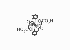 Cc1ccccc1C[C@H](CSSC[C@@H](Cc1ccccc1C)C(=O)NC[C@H](O)C(=O)O)C(=O)NCC(O)C(=O)O